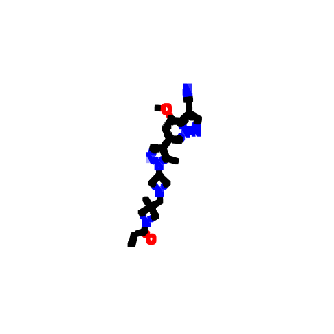 C=CC(=O)N1CC(C)(CN2CC(n3ncc(-c4cc(OC)c5c(C#N)cnn5c4)c3C)C2)C1